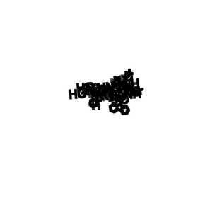 C[C@@H](OC(C)(C)C)[C@H](NC(=O)OCC1c2ccccc2-c2ccccc21)C(=O)N[C@H](C(=O)N(C)[C@@H](C)C(=O)N[C@@H](CSSC(C)(C)C)C(=O)N[C@@H](Cc1ccccc1)C(=O)N[C@@H](CC(=O)O)C(=O)O)[C@@H](C)OC(C)(C)C